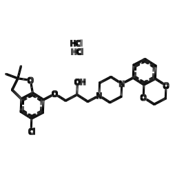 CC1(C)Cc2cc(Cl)cc(OCC(O)CN3CCN(c4cccc5c4OCCO5)CC3)c2O1.Cl.Cl